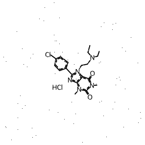 CCN(CC)CCn1c(-c2ccc(Cl)cc2)nc2c1c(=O)n(C)c(=O)n2C.Cl